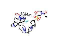 C=CC(=O)N1CCOC[C@H](S(=O)(=O)c2ccc(N3CC(C)(CN4CCC(C(CN5CCC5)(c5cccc(F)c5)[C@H]5CCC[C@@H]5NC(=O)OC)CC4)C3)cc2)C1